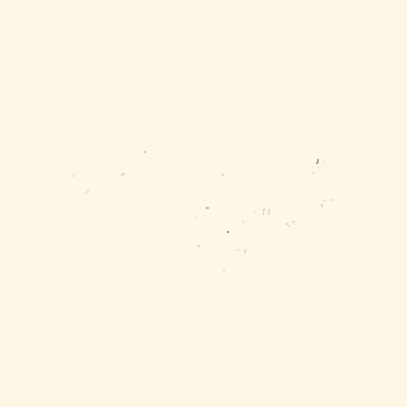 COc1cc2c(Sc3cc(OC)c(OC)c(OC)c3)c(C(=O)O)n(C(Cc3ccccc3)C3=COCO3)c2cc1OCc1ccccc1